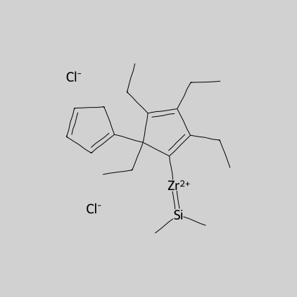 CCC1=C(CC)C(CC)(C2=CC=CC2)[C]([Zr+2]=[Si](C)C)=C1CC.[Cl-].[Cl-]